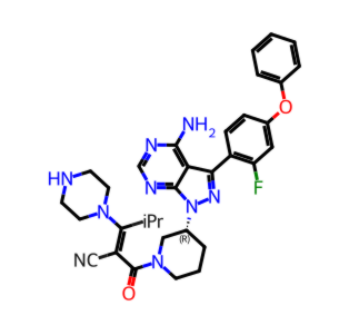 CC(C)C(=C(C#N)C(=O)N1CCC[C@@H](n2nc(-c3ccc(Oc4ccccc4)cc3F)c3c(N)ncnc32)C1)N1CCNCC1